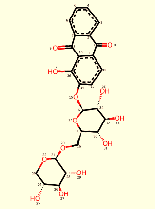 O=C1c2ccccc2C(=O)c2c1ccc(O[C@@H]1O[C@H](CO[C@@H]3OC[C@@H](O)[C@H](O)[C@H]3O)[C@@H](O)[C@H](O)[C@H]1O)c2O